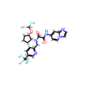 O=C(Nc1ccn2ccnc2c1)C(=O)N(Cc1ccc(C(F)(F)F)cn1)[C@@H]1CCC[C@H]1OC(F)F